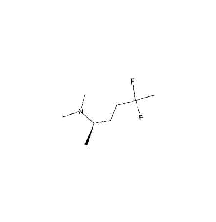 C[C@H](CCC(C)(F)F)N(C)C